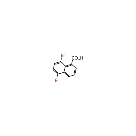 O=C(O)c1cccc2c(Br)ccc(Br)c12